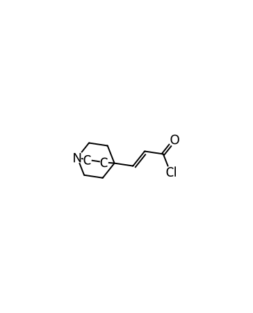 O=C(Cl)/C=C/C12CCN(CC1)CC2